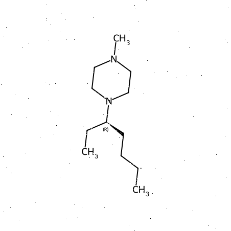 C[CH]CC[C@@H](CC)N1CCN(C)CC1